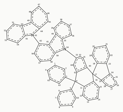 c1ccc(C2(c3ccccc3)c3ccccc3C3(c4ccccc4-c4ccccc43)c3ccc(-n4c5ccccc5c5c(-n6c7ccccc7c7ccccc76)cccc54)cc32)cc1